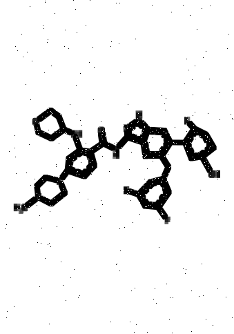 CN1CCN(c2ccc(C(=O)Nc3n[nH]c4cc(-c5cc(O)ccc5F)c(Cc5cc(F)cc(F)c5)cc34)c(NC3CCOCC3)c2)CC1